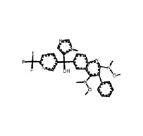 CON(C)c1nc2ccc(C(O)(c3ccc(C(F)(F)F)nc3)c3cncn3C)cc2c(N(C)OC)c1-c1ccccc1